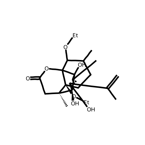 C=C(C)C1=C(C)C2(O)C34OC(=O)C[C@@](C)([C@@]3(OCC)CCC(C)C4OCC)[C@]2(O)C1O